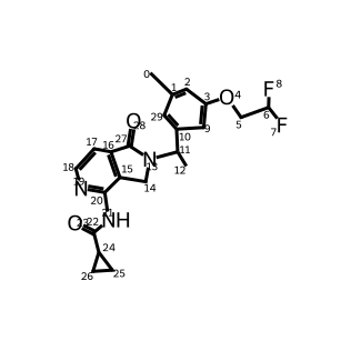 Cc1cc(OCC(F)F)cc(C(C)N2Cc3c(ccnc3NC(=O)C3CC3)C2=O)c1